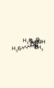 CCCCCCCCc1cc(SC)c(CNC(=O)O)c(SC)c1